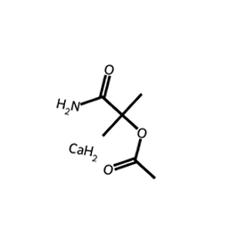 CC(=O)OC(C)(C)C(N)=O.[CaH2]